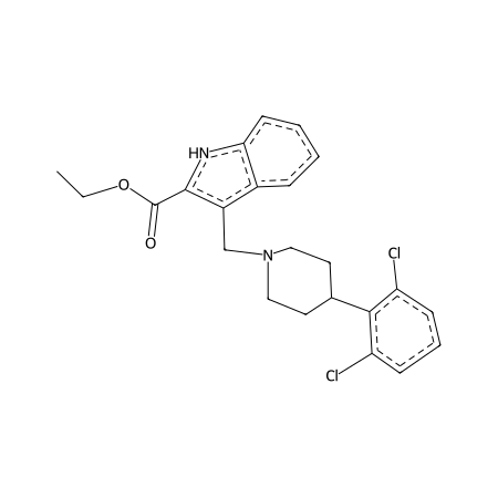 CCOC(=O)c1[nH]c2ccccc2c1CN1CCC(c2c(Cl)cccc2Cl)CC1